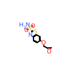 NS(=O)(=O)c1nc2ccc(OCC3CO3)cc2s1